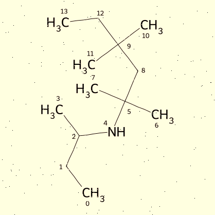 CCC(C)NC(C)(C)CC(C)(C)CC